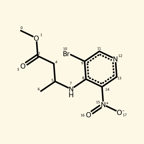 COC(=O)CC(C)Nc1c(Br)cncc1[N+](=O)[O-]